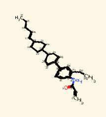 C=CC(=O)Nc1ccc(C2CCC(C3CCC(CCCCC)CC3)CC2)cc1CC